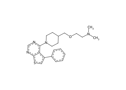 CN(C)CCOCC1CCN(c2ncnc3scc(-c4ccccc4)c23)CC1